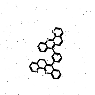 c1cc(-c2c3c(nc4ccccc24)-c2ncccc2CC3)cc(-c2c3ccccc3nc3c2ccc2cccnc23)c1